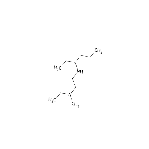 CCCC(CC)NCCN(C)CC